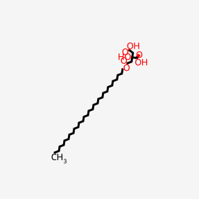 CCCCCCCCCCCCCCCCCCCCCCCCCCCCCCOC(=O)CC(O)(CC(=O)O)C(=O)O